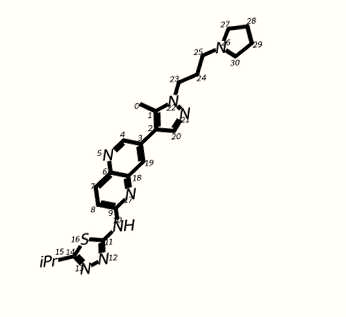 Cc1c(-c2cnc3ccc(Nc4nnc(C(C)C)s4)nc3c2)cnn1CCCN1CCCC1